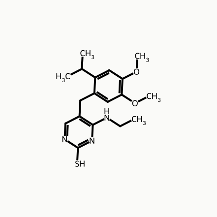 CCNc1nc(S)ncc1Cc1cc(OC)c(OC)cc1C(C)C